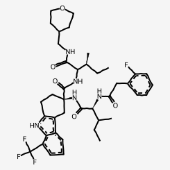 CCC(C)[C@H](NC(=O)Cc1ccccc1F)C(=O)N[C@]1(C(=O)NC(C(=O)NCC2CCOCC2)[C@@H](C)CC)CCc2[nH]c3c(C(F)(F)F)cccc3c2C1